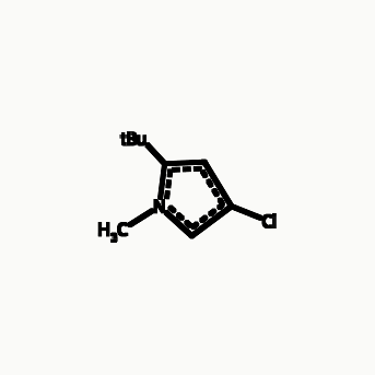 Cn1cc(Cl)cc1C(C)(C)C